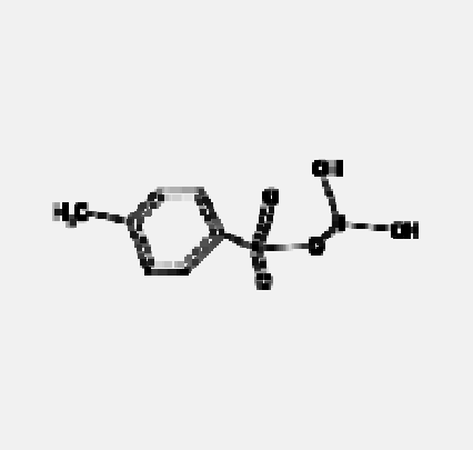 Cc1ccc(S(=O)(=O)OB(O)O)cc1